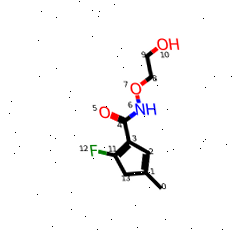 CC1=CC(C(=O)NOCCO)=C(F)C1